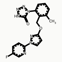 Cc1cccc(-n2nn[nH]c2=O)c1COc1ccn(-c2ccc(F)cn2)n1